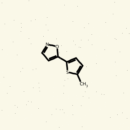 Cc1ccc(-c2ccno2)s1